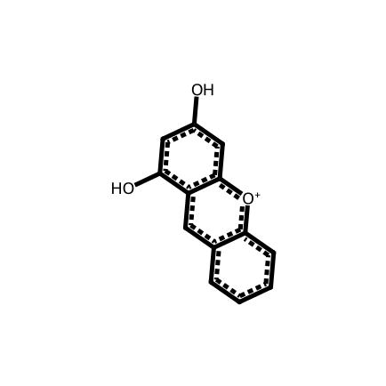 Oc1cc(O)c2cc3ccccc3[o+]c2c1